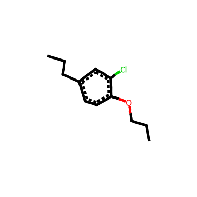 CCCOc1ccc(CCC)cc1Cl